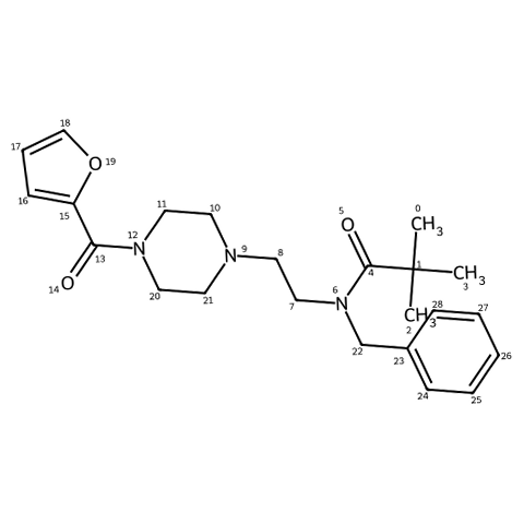 CC(C)(C)C(=O)N(CCN1CCN(C(=O)c2ccco2)CC1)Cc1ccccc1